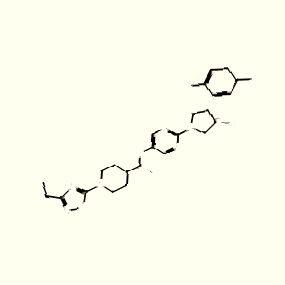 CCc1nsc(N2CCC([C@H](C)Oc3cnc(N4C[C@H](C5=CC(F)CC=C5F)[C@@H](N)C4)nc3)CC2)n1